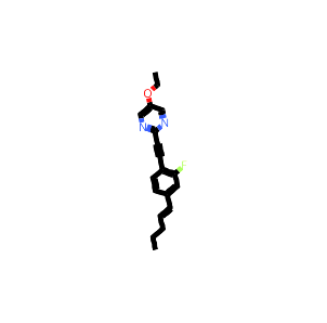 CCCC=Cc1ccc(C#Cc2ncc(OCC)cn2)c(F)c1